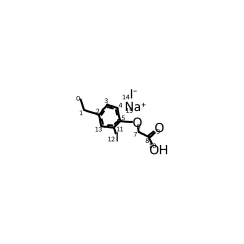 CCc1ccc(OCC(=O)O)c(I)c1.[I-].[Na+]